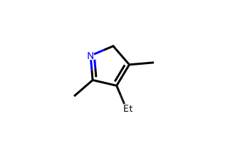 CCC1=C(C)CN=C1C